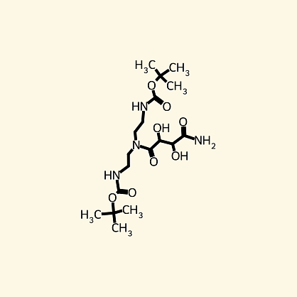 CC(C)(C)OC(=O)NCCN(CCNC(=O)OC(C)(C)C)C(=O)C(O)C(O)C(N)=O